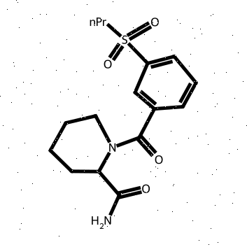 CCCS(=O)(=O)c1cccc(C(=O)N2CCCCC2C(N)=O)c1